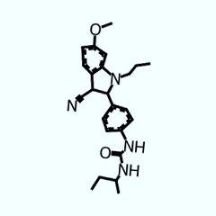 CCCN1c2cc(OC)ccc2C(C#N)C1c1ccc(NC(=O)NC(C)CC)cc1